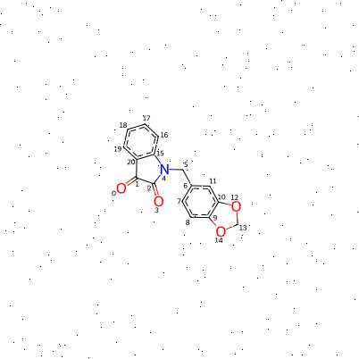 O=C1C(=O)N(Cc2ccc3c(c2)OCO3)c2ccccc21